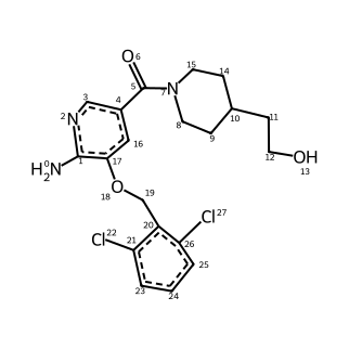 Nc1ncc(C(=O)N2CCC(CCO)CC2)cc1OCc1c(Cl)cccc1Cl